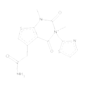 CN1C(=O)[N+](C)(c2nccs2)C(=O)c2c(CC(N)=O)csc21